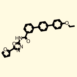 CCOc1ccc(-c2ccc(-c3cccc(C(=O)Nc4nnc(-c5ccco5)o4)c3)cc2)cc1